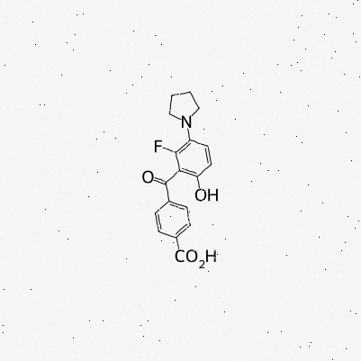 O=C(O)c1ccc(C(=O)c2c(O)ccc(N3CCCC3)c2F)cc1